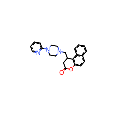 O=C1CC(CN2CCN(c3ccccn3)CC2)c2c(ccc3ccccc23)O1